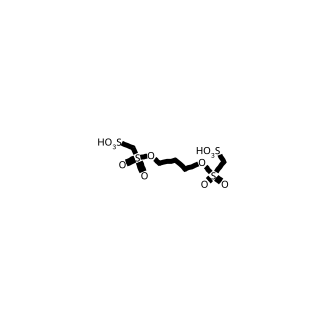 O=S(=O)(O)CS(=O)(=O)OCCCOS(=O)(=O)CS(=O)(=O)O